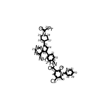 Cc1c(Cl)cc(C(=O)Nc2ccc(-c3cc(C4CCN(C(=O)C(C)C)CC4)n4ncnc(N)c34)cc2)c(=O)n1-c1ccccn1